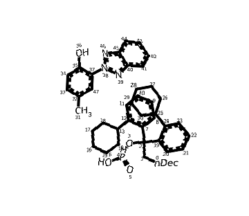 CCCCCCCCCCCC(O[PH](=O)O)(c1ccccc1C1CCCCC1)c1ccccc1C1CCCCC1.Cc1ccc(O)c(-n2nc3ccccc3n2)c1